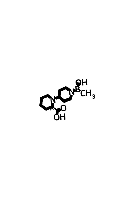 CB(O)N1CCC(N2CCCC[C@@H]2C(=O)O)CC1